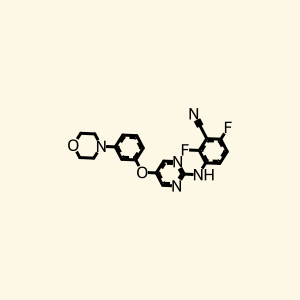 N#Cc1c(F)ccc(Nc2ncc(Oc3cccc(N4CCOCC4)c3)cn2)c1F